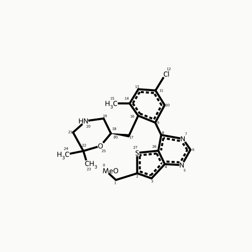 COCc1cc2ncnc(-c3cc(Cl)cc(C)c3C[C@@H]3CNCC(C)(C)O3)c2s1